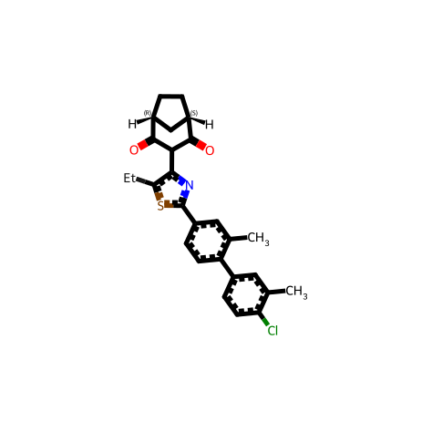 CCc1sc(-c2ccc(-c3ccc(Cl)c(C)c3)c(C)c2)nc1C1C(=O)[C@@H]2CC[C@@H](C2)C1=O